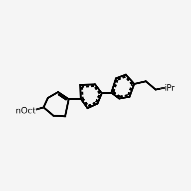 CCCCCCCCC1CC=C(c2ccc(-c3ccc(CCC(C)C)cc3)cc2)CC1